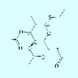 CCS[C@@H]1OC(CSC(C)=O)[C@@H](OC(C)=O)[C@H](OC(C)=O)C1C